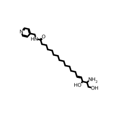 NC(CO)C(O)C=CCCCCCCCCCCCCC(=O)NCc1ccncc1